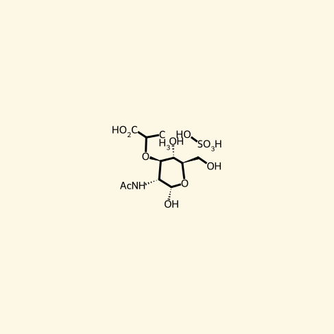 CC(=O)N[C@@H]1[C@@H](OC(C)C(=O)O)[C@H](O)[C@@H](CO)O[C@@H]1O.O=S(=O)(O)O